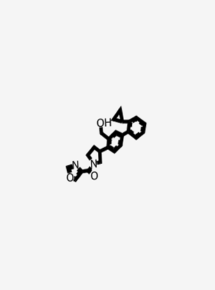 O=C(c1cocn1)N1CCC(c2ccc(-c3ccccc3C3CC3)cc2CO)C1